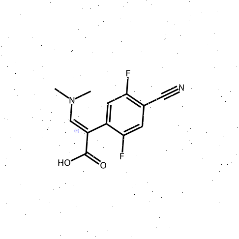 CN(C)/C=C(/C(=O)O)c1cc(F)c(C#N)cc1F